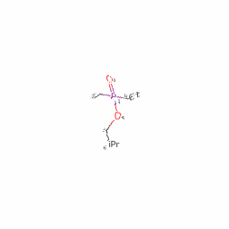 CCP(C)(=O)OCC(C)C